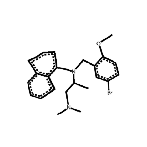 COc1ccc(Br)cc1CN(c1cccc2ccccc12)C(C)CN(C)C